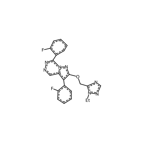 CCn1ncnc1COc1nn2c(-c3ccccc3F)nncc2c1-c1ccccc1F